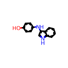 Oc1ccc(Nc2c[nH]c3ccccc23)cc1